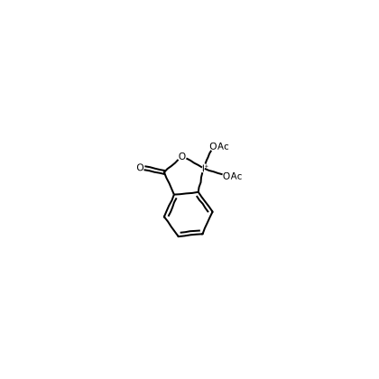 CC(=O)O[I+]1(OC(C)=O)OC(=O)c2ccccc21